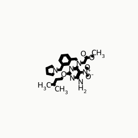 COC(=O)CN(Cc1cccc(CN2CCCC2)c1)c1nc(OCCC(C)C)nc(N)c1[N+](=O)[O-]